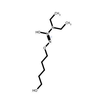 CCN(CC)/[N+](O)=N/OCCCCCO